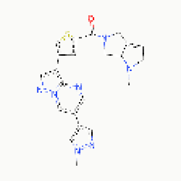 CN1CC=C2CN(C(=O)c3cc(-c4cnn5cc(-c6cnn(C)c6)cnc45)cs3)CC21